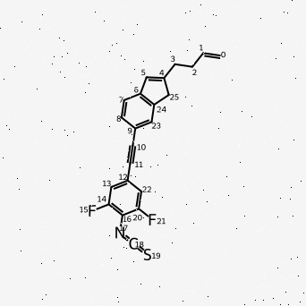 C=CCCC1=Cc2ccc(C#Cc3cc(F)c(N=C=S)c(F)c3)cc2C1